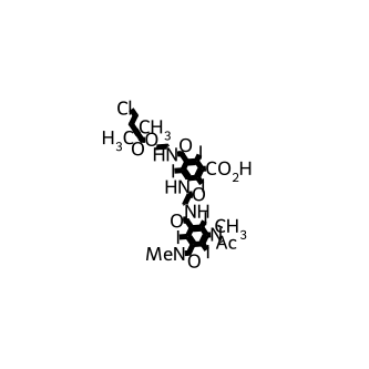 CNC(=O)c1c(I)c(C(=O)NCC(=O)Nc2c(I)c(C(=O)O)c(I)c(C(=O)NCCOC(=O)C(C)(C)CCCl)c2I)c(I)c(N(C)C(C)=O)c1I